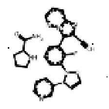 C#Cc1nc2cccnn2c1-c1cccc(N2OC=C[C@H]2c2cccnc2)c1F.NC(=O)C1CCCN1